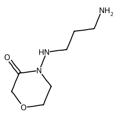 NCCCNN1CCOCC1=O